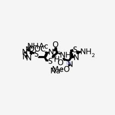 CO/N=C(\C(=O)N[C@@H]1C(=O)N2C(C(=O)[O-])=C(CSc3nnnn3NC(C)=O)CS[C@@H]12)c1csc(N)n1.[Na+]